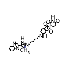 C/C(=C/NCCCCCCNc1ccc2c(c1)C(=O)N(C1CCC(=O)NC1=O)C2=O)C(=N)c1cnc2ccccc2n1